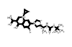 C[C@@H](NC(=O)OC(C)(C)C)[C@H]1CCN(c2cc3c(cc2F)c(=O)c(C(=O)O)cn3C2CC2)C1